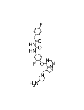 N[C@@H]1CCN(Cc2ccn3ncnc(Oc4ccc(NC(=O)NC(=O)Cc5ccc(F)cc5)cc4F)c23)C1